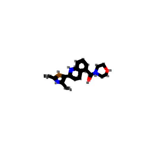 Cc1nc(C)c(-c2ccc3c(C(=O)N4CCOCC4)[c]ccc3n2)s1